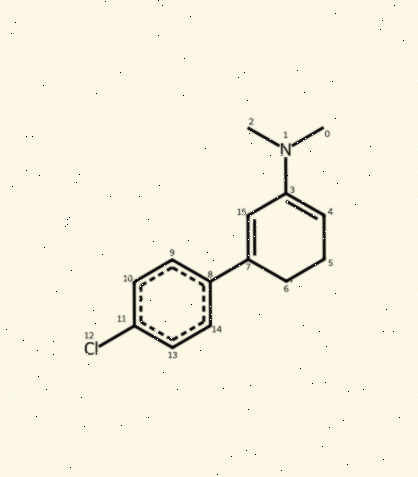 CN(C)C1=CC[CH]C(c2ccc(Cl)cc2)=C1